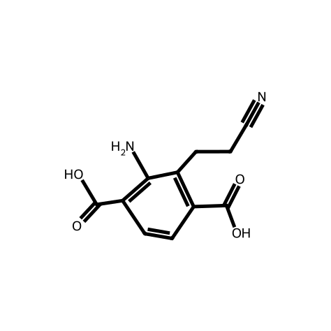 N#CCCc1c(C(=O)O)ccc(C(=O)O)c1N